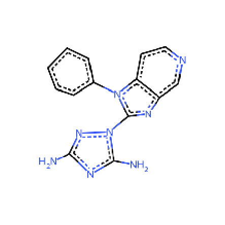 Nc1nc(N)n(-c2nc3cnccc3n2-c2ccccc2)n1